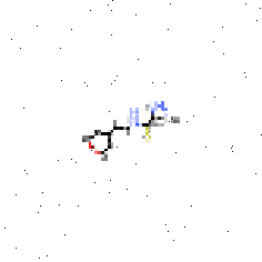 CCC(C)[C@H](N)C(=S)NCCC1CCOCC1